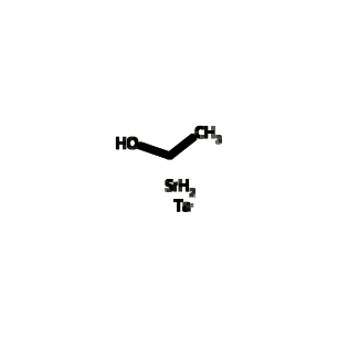 CCO.[SrH2].[Ta]